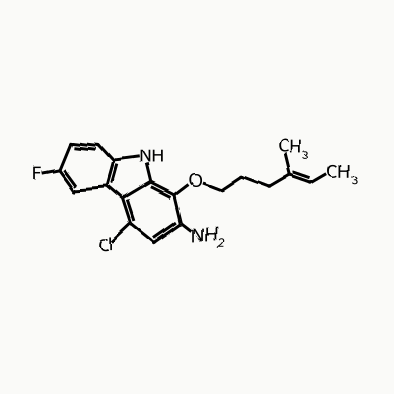 C/C=C(\C)CCCOc1c(N)cc(Cl)c2c1[nH]c1ccc(F)cc12